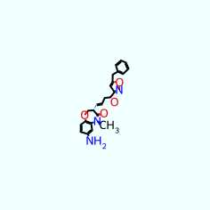 CN1C(=O)[C@@H](/C=C/CC(=O)c2cc(Cc3ccccc3)on2)COc2ccc(N)cc21